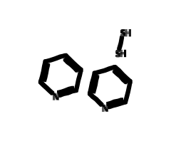 SS.c1ccncc1.c1ccncc1